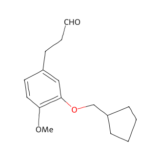 COc1ccc(CCC=O)cc1OCC1CCCC1